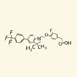 CC1(C)CN(CCOc2ccc(CC(=O)O)cc2F)c2ccc(-c3ccc(C(F)(F)F)cc3)cc21